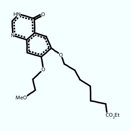 CCOC(=O)CCCCCCOc1cc2c(=O)[nH]cnc2cc1OCCOC